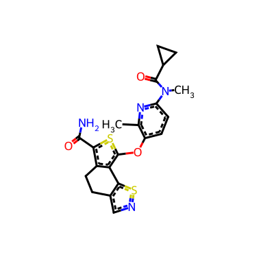 Cc1nc(N(C)C(=O)C2CC2)ccc1Oc1sc(C(N)=O)c2c1-c1sncc1CC2